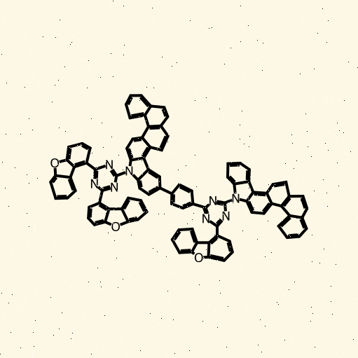 c1ccc2c(c1)ccc1ccc3c(ccc4c3c3ccccc3n4-c3nc(-c4ccc(-c5ccc6c(c5)c5c7ccc8ccc9ccccc9c8c7ccc5n6-c5nc(-c6cccc7oc8ccccc8c67)nc(-c6cccc7oc8ccccc8c67)n5)cc4)nc(-c4cccc5oc6ccccc6c45)n3)c12